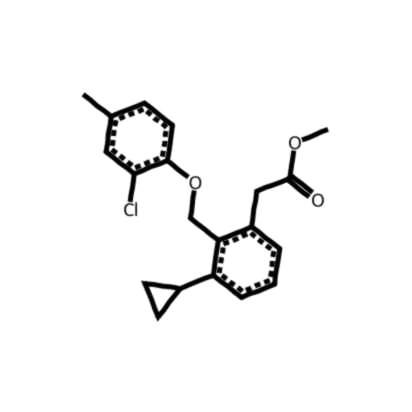 COC(=O)Cc1cccc(C2CC2)c1COc1ccc(C)cc1Cl